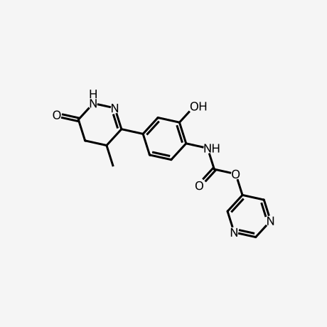 CC1CC(=O)NN=C1c1ccc(NC(=O)Oc2cncnc2)c(O)c1